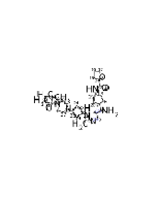 C=C(/N=C\C=C(/N)c1ccc(NC(=O)C2CCCO2)cc1)Nc1ccc(N2CCN(C(=O)C(C)(C)C)CC2)cc1